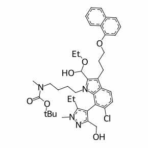 CCOC(O)c1c(CCCOc2cccc3ccccc23)c2ccc(Cl)c(-c3c(CO)nn(C)c3CC)c2n1CCCCN(C)C(=O)OC(C)(C)C